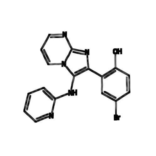 Oc1ccc(Br)cc1-c1nc2ncccn2c1Nc1ccccn1